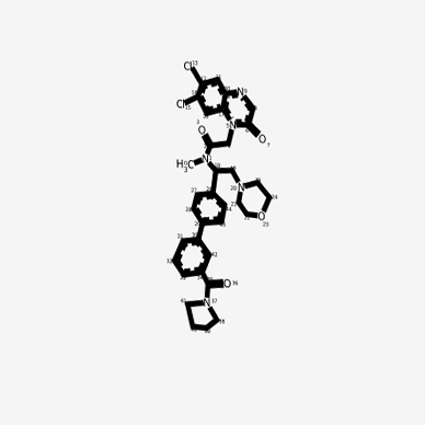 CN(C(=O)Cn1c(=O)cnc2cc(Cl)c(Cl)cc21)C(CN1CCOCC1)c1ccc(-c2cccc(C(=O)N3CCCC3)c2)cc1